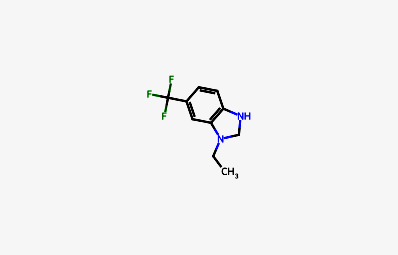 CCN1CNc2ccc(C(F)(F)F)cc21